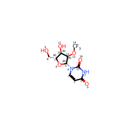 O=c1ccn([C@@H]2O[C@H](CO)[C@@H](O)[C@H]2OC(F)(F)F)c(=O)[nH]1